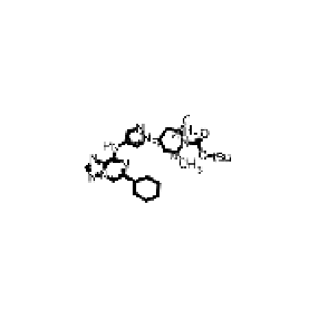 C[C@@H]1C[C@H](n2cc(Nc3nc(C4CCCCC4)cn4ncnc34)cn2)C[C@H](C)N1C(=O)OC(C)(C)C